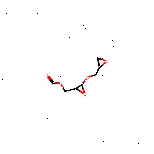 O=COCC1OC1OCC1CO1